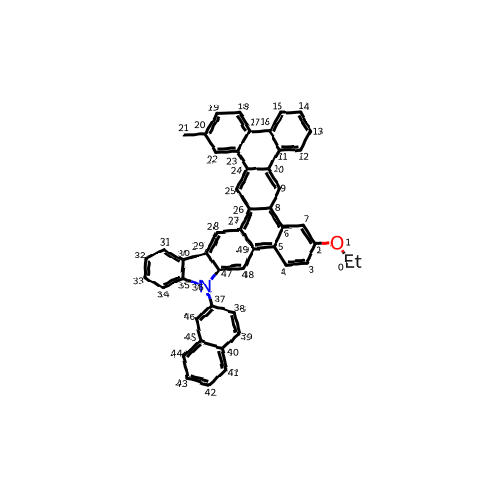 CCOc1ccc2c(c1)c1cc3c4ccccc4c4ccc(C)cc4c3cc1c1cc3c4ccccc4n(-c4ccc5ccccc5c4)c3cc21